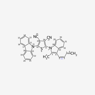 C=C/C=C\c1c(C)n(-c2sc(-n3c4ccccc4c4ccccc43)c(C#N)c2C#N)c2ccccc12